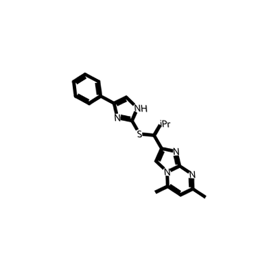 Cc1cc(C)n2cc(C(Sc3nc(-c4ccccc4)c[nH]3)C(C)C)nc2n1